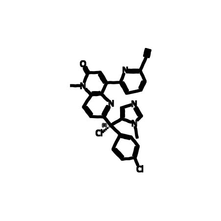 C#Cc1cccc(-c2cc(=O)n(C)c3ccc([C@](Cl)(c4ccc(Cl)cc4)c4cncn4C)nc23)n1